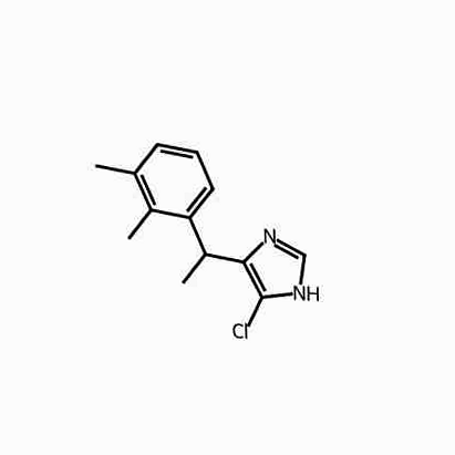 Cc1cccc(C(C)c2nc[nH]c2Cl)c1C